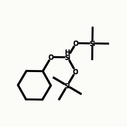 C[Si](C)(C)O[SiH](OC1CCCCC1)O[Si](C)(C)C